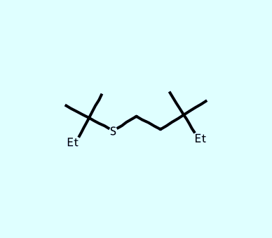 CCC(C)(C)CCSC(C)(C)CC